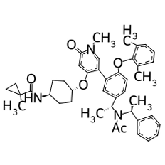 CC(=O)N([C@H](C)c1ccc(Oc2c(C)cccc2C)c(-c2cn(C)c(=O)cc2O[C@H]2CC[C@H](NC(=O)C3(C)CC3)CC2)c1)[C@@H](C)c1ccccc1